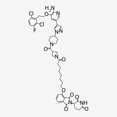 Nc1ncc(-c2cnn(C3CCN(C(=O)C4CN(C(=O)CCCCCCCOc5cccc6c5C(=O)N([C@@H]5CCC(=O)NC5=O)C6=O)C4)CC3)c2)cc1OCCc1c(Cl)ccc(F)c1Cl